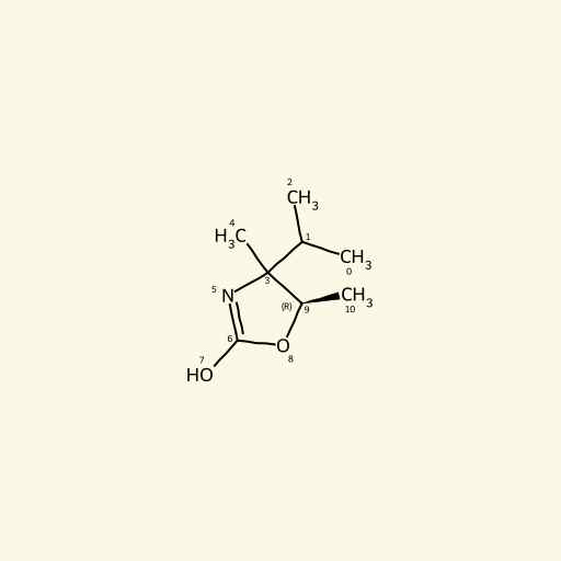 CC(C)C1(C)N=C(O)O[C@@H]1C